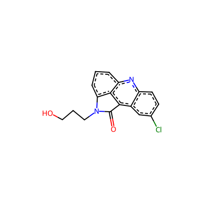 O=C1c2c3cc(Cl)ccc3nc3cccc(c23)N1CCCO